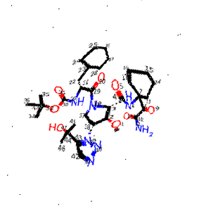 CO[C@@H]1[C@@H](C(=O)NC2(C(=O)C(N)=O)CCCCC2)N(C(=O)[C@@H](CC2CCCCC2)NC(=O)OC(C)(C)C)C[C@H]1n1nncc1C(C)(C)O